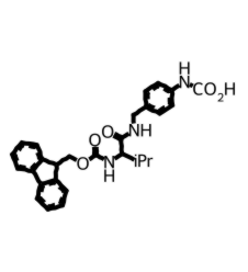 CC(C)C(NC(=O)OCC1c2ccccc2-c2ccccc21)C(=O)NCc1ccc(NC(=O)O)cc1